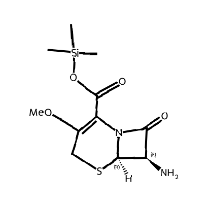 COC1=C(C(=O)O[Si](C)(C)C)N2C(=O)[C@@H](N)[C@H]2SC1